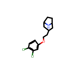 Clc1ccc(OCCC2CC3CCC(C2)N3)cc1Cl